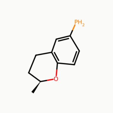 C[C@H]1CCc2cc(P)ccc2O1